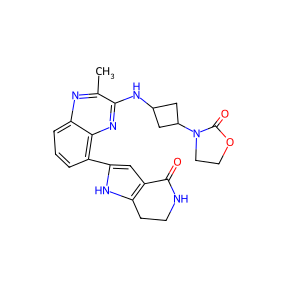 Cc1nc2cccc(-c3cc4c([nH]3)CCNC4=O)c2nc1NC1CC(N2CCOC2=O)C1